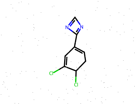 ClC1=CC(C2=NC=N2)=CCC1Cl